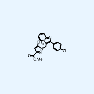 COC(=O)c1cc(C)n(Cc2c(-c3ccc(Cl)cc3)nc3ccccn23)n1